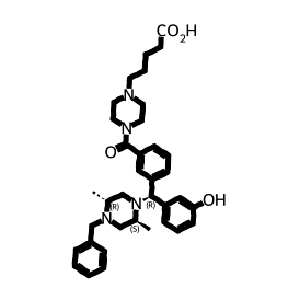 C[C@@H]1CN([C@@H](c2cccc(O)c2)c2cccc(C(=O)N3CCN(CCCCC(=O)O)CC3)c2)[C@@H](C)CN1Cc1ccccc1